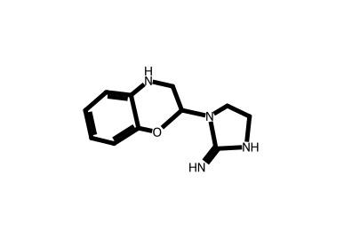 N=C1NCCN1C1CNc2ccccc2O1